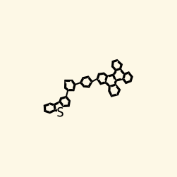 c1cc(-c2ccc(-c3ccc4c(c3)c3ccccc3c3c5ccccc5c5ccccc5c43)cc2)cc(-c2ccc3sc4ccccc4c3c2)c1